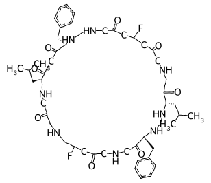 CC(C)C[C@@H]1NCN[C@@H](Cc2ccccc2)C(=O)CNCC(=O)CC(F)CNCC(=O)CN[C@@H](CC(C)C)C(=O)CC(=O)[C@H](Cc2ccccc2)NCNCC(=O)CC(F)CC(=O)CNCC1=O